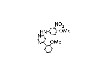 COc1ccccc1-c1cc(Nc2ccc(OC)c([N+](=O)[O-])c2)ncn1